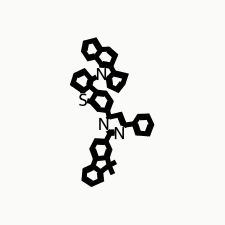 CC1(C)c2ccccc2-c2ccc(-c3nc(-c4ccccc4)cc(-c4ccc5c(c4)sc4cccc(-n6c7ccccc7c7ccc8ccccc8c76)c45)n3)cc21